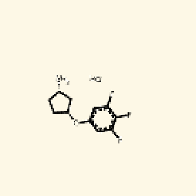 Cl.N[C@H]1CC[C@H](Oc2cc(F)c(F)c(F)c2)C1